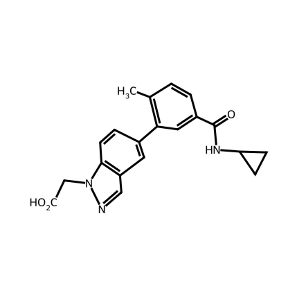 Cc1ccc(C(=O)NC2CC2)cc1-c1ccc2c(cnn2CC(=O)O)c1